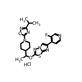 CC(C)c1noc(N2CCC(C(C)Oc3nn4cc(-c5ccncc5F)nc4s3)CC2)n1.Cl